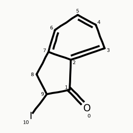 O=C1c2ccccc2CC1I